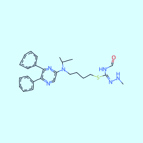 CN/N=C(\NC=O)SCCCCN(c1cnc(-c2ccccc2)c(-c2ccccc2)n1)C(C)C